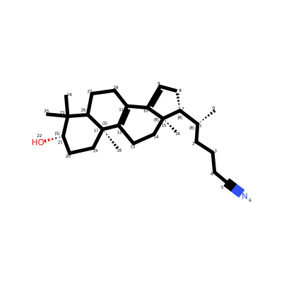 C[C@H](CCCC#N)[C@H]1CC=C2C3=C(CC[C@@]21C)[C@@]1(C)CC[C@H](O)C(C)(C)C1CC3